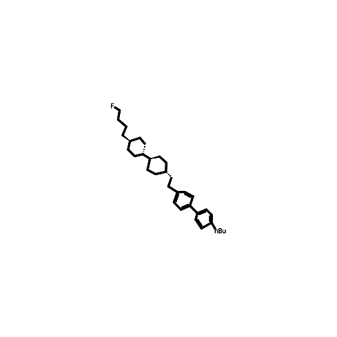 CCCCc1ccc(-c2ccc(CC[C@H]3CC[C@H]([C@H]4CC[C@H](CCCCF)CC4)CC3)cc2)cc1